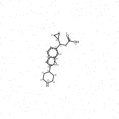 O=C(O)CC(c1ccc2cc(C3CCNCC3)oc2c1)C1CC1